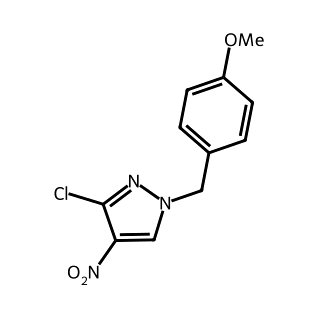 COc1ccc(Cn2cc([N+](=O)[O-])c(Cl)n2)cc1